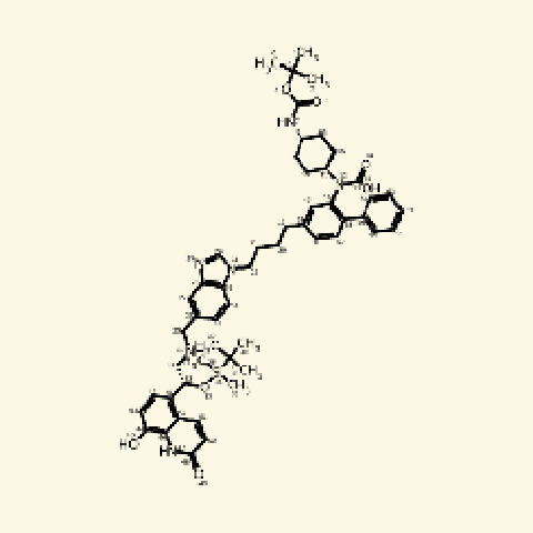 CC(C)(C)OC(=O)N[C@H]1CC[C@H](N(C(=O)O)c2cc(CCCCn3cnc4cc(CNC[C@H](O[Si](C)(C)C(C)(C)C)c5ccc(O)c6[nH]c(=O)ccc56)ccc43)ccc2-c2ccccc2)CC1